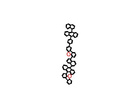 C1=CC2Oc3c(-c4c5ccccc5c(-c5cccc6c(-c7cccc8c7oc7ccc(-c9ccc(-c%10c%11ccccc%11c(-c%11cccc%12ccccc%11%12)c%11ccccc%10%11)cc9)cc78)cccc56)c5ccccc45)cccc3C2C=C1